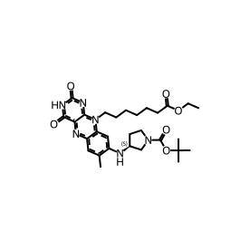 CCOC(=O)CCCCCCn1c2nc(=O)[nH]c(=O)c-2nc2cc(C)c(N[C@H]3CCN(C(=O)OC(C)(C)C)C3)cc21